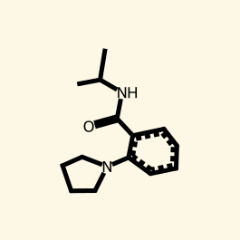 CC(C)NC(=O)c1ccccc1N1CCCC1